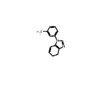 Cc1cccc(-n2cnc3c2C=CCC3)c1